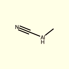 [CH3][AlH][C]#N